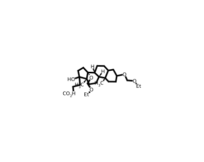 CCOCOC1CC[C@@]2(C)C(CC[C@@H]3[C@H]2CC[C@]2(C)C(O)(CCC(=O)O)CC[C@@]32OCOCC)C1